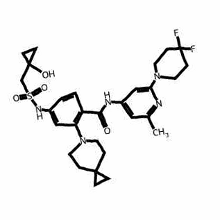 Cc1cc(NC(=O)c2ccc(NS(=O)(=O)CC3(O)CC3)cc2N2CCC3(CC2)CC3)cc(N2CCC(F)(F)CC2)n1